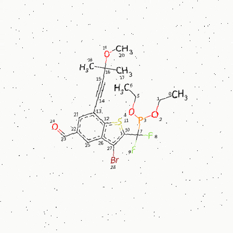 CCOP(OCC)C(F)(F)c1sc2c(C#CC(C)(C)OC)cc(C=O)cc2c1Br